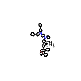 CC1(C)C2=C(CCC(c3c4ccccc4c(-c4ccccc4-c4ccccc4)c4ccccc34)=C2)c2ccc(N(c3ccccc3)c3ccc(-n4c5ccc(-c6ccccc6)cc5c5cc(-c6ccccc6)ccc54)cc3)cc21